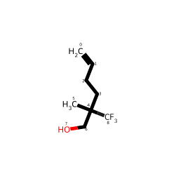 C=CCCC(C)(CO)C(F)(F)F